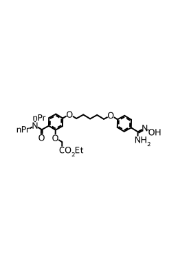 CCCN(CCC)C(=O)c1ccc(OCCCCCOc2ccc(C(N)=NO)cc2)cc1OCC(=O)OCC